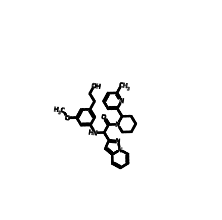 COc1cc(CCO)cc(NC(C(=O)N2CCCCC2c2cccc(C)n2)c2cc3ccccn3n2)c1